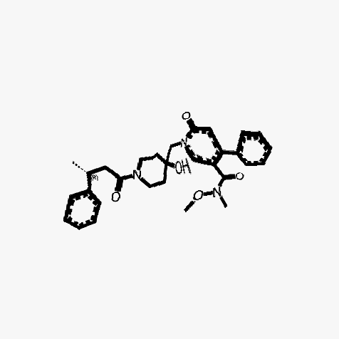 CON(C)C(=O)c1cn(CC2(O)CCN(C(=O)C[C@@H](C)c3ccccc3)CC2)c(=O)cc1-c1ccccc1